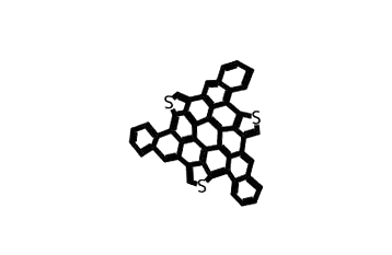 c1ccc2c(c1)cc1c3csc4c5c6ccccc6cc6c7csc8c9c%10ccccc%10cc%10c%11csc%12c2c1c1c(c34)c(c65)c(c78)c(c%109)c1c%11%12